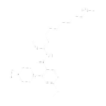 C=N/C(=C\C=C/CCCCCNC)NC(=O)c1ccc(SC)cc1N1CCC2(CC1)CC2